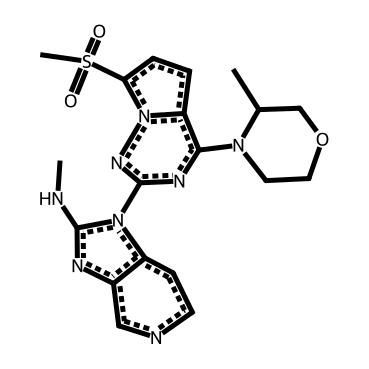 CNc1nc2cnccc2n1-c1nc(N2CCOCC2C)c2ccc(S(C)(=O)=O)n2n1